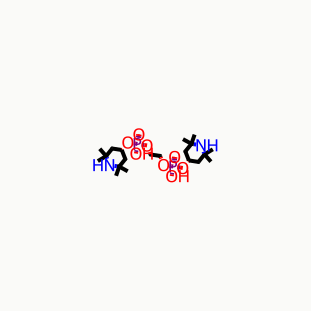 CC1(C)CC(OP(=O)(O)OCCOP(=O)(O)OC2CC(C)(C)NC(C)(C)C2)CC(C)(C)N1